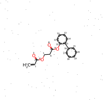 C=CC(=O)OCCC(=O)Oc1ccccc1-c1ccccc1